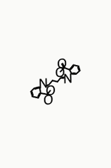 O=c1oc(CCc2nc3ccccc3c(=O)o2)nc2ccccc12